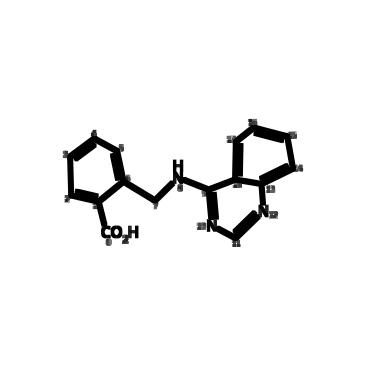 O=C(O)c1ccccc1CNc1ncnc2ccccc12